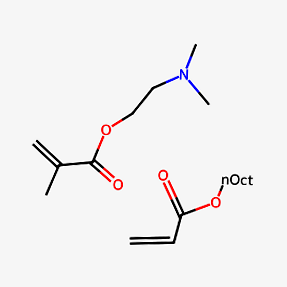 C=C(C)C(=O)OCCN(C)C.C=CC(=O)OCCCCCCCC